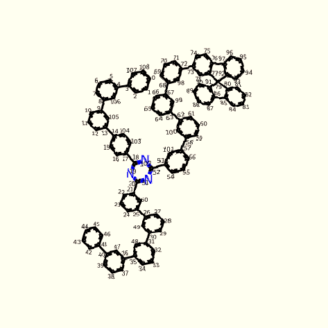 c1ccc(-c2cccc(-c3cccc(-c4ccc(-c5nc(-c6cccc(-c7cccc(-c8cccc(-c9cccc(-c%10ccccc%10)c9)c8)c7)c6)nc(-c6cccc(-c7cccc(-c8cccc(-c9cccc(-c%10ccc%11c(c%10)C%10(c%12ccccc%12-c%12ccccc%12%10)c%10ccccc%10-%11)c9)c8)c7)c6)n5)cc4)c3)c2)cc1